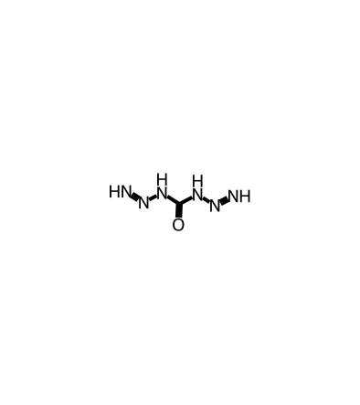 N=NNC(=O)NN=N